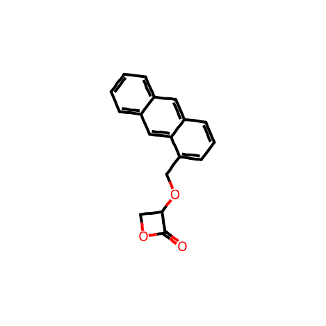 O=C1OCC1OCc1cccc2cc3ccccc3cc12